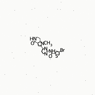 Cn1c(-c2ccnc(NC(=O)c3cc(Br)cs3)n2)cc2c1CCNC2=O